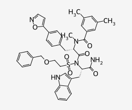 Cc1cc(C)cc(C(=O)N(C)[C@@H](Cc2ccc(-c3ccno3)cc2)C(=O)N([C@@H](Cc2c[nH]c3ccccc23)C(N)=O)S(=O)(=O)CCOCc2ccccc2)c1